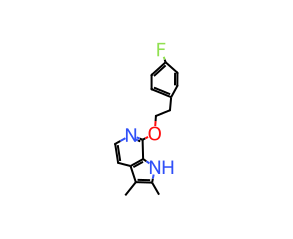 Cc1[nH]c2c(OCCc3ccc(F)cc3)nccc2c1C